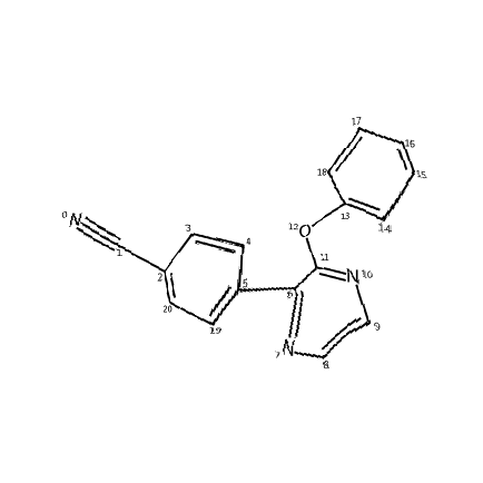 N#Cc1ccc(-c2nccnc2Oc2ccccc2)cc1